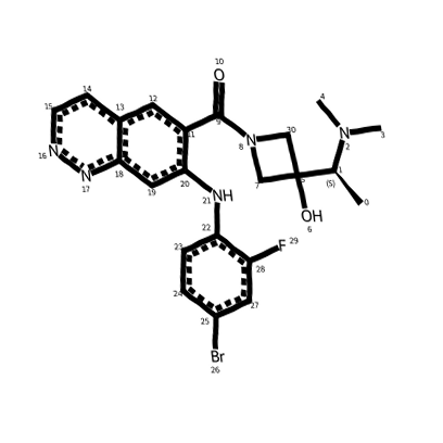 C[C@H](N(C)C)C1(O)CN(C(=O)c2cc3ccnnc3cc2Nc2ccc(Br)cc2F)C1